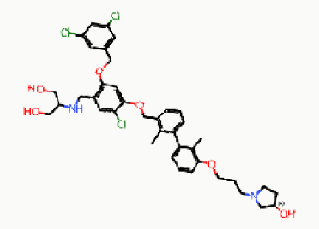 Cc1c(COc2cc(OCc3cc(Cl)cc(Cl)c3)c(CNC(CO)CO)cc2Cl)cccc1-c1cccc(OCCCN2CC[C@@H](O)C2)c1C